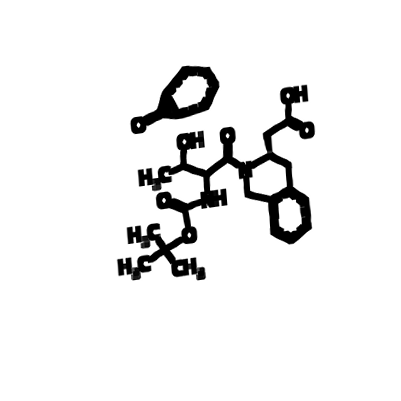 CC(O)C(NC(=O)OC(C)(C)C)C(=O)N1Cc2ccccc2C[C@@H]1CC(=O)O.O=c1c2ccccc12